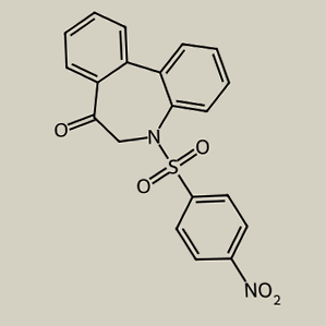 O=C1CN(S(=O)(=O)c2ccc([N+](=O)[O-])cc2)c2ccccc2-c2ccccc21